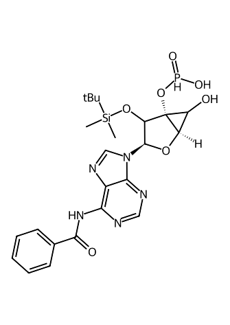 CC(C)(C)[Si](C)(C)OC1[C@H](n2cnc3c(NC(=O)c4ccccc4)ncnc32)O[C@@H]2C(O)[C@]12O[PH](=O)O